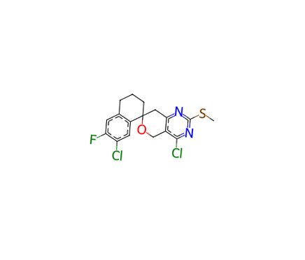 CSc1nc(Cl)c2c(n1)CC1(CCCc3cc(F)c(Cl)cc31)OC2